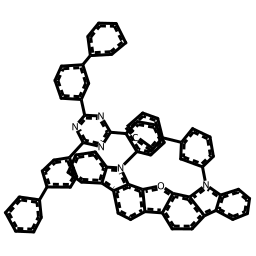 c1ccc(-c2ccc(-c3nc(-c4cccc(-c5ccccc5)c4)nc(-c4ccccc4-n4c5ccccc5c5ccc6c7ccc8c9ccccc9n(-c9cccc(-c%10ccccc%10)c9)c8c7oc6c54)n3)cc2)cc1